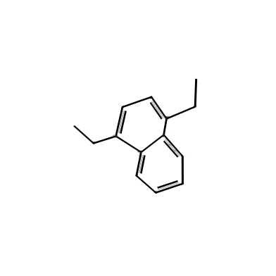 CCc1ccc(CC)c2ccccc12